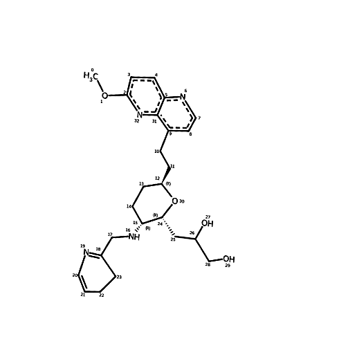 COc1ccc2nccc(CC[C@@H]3CC[C@@H](NCC4=NC=CCC4)[C@@H](CC(O)CO)O3)c2n1